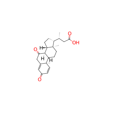 C[C@H](CC(=O)O)[C@H]1CC[C@H]2[C@@H]3C(=O)CC4=CC(=O)C=C[C@]4(C)[C@H]3CC[C@]12C